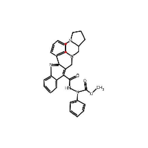 COC(=O)N(NC(=O)c1c(CN2CCN3CCCC3C2)c(-c2ccccc2)nc2ccccc12)c1ccccc1